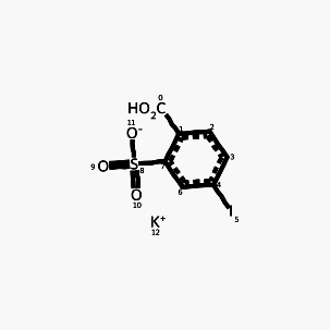 O=C(O)c1ccc(I)cc1S(=O)(=O)[O-].[K+]